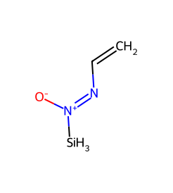 C=C/N=[N+](\[O-])[SiH3]